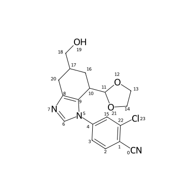 N#Cc1ccc(-n2cnc3c2C(C2OCCO2)CC(CO)C3)cc1Cl